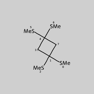 CSC1(SC)[CH]C(SC)(SC)C1